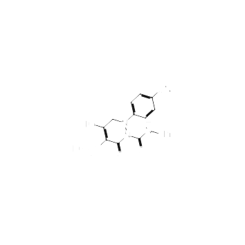 CCCNC(=O)N1C(=O)C(C(=O)OCC)=C(O)CN1c1ccc(C#N)cc1